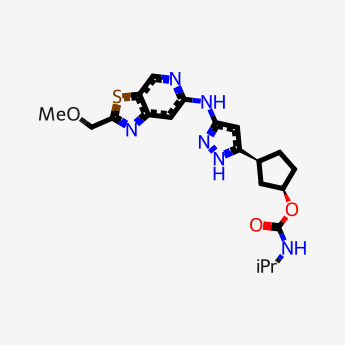 COCc1nc2cc(Nc3cc([C@H]4CC[C@@H](OC(=O)NC(C)C)C4)[nH]n3)ncc2s1